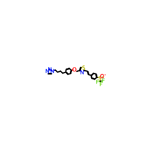 [O-][S+](c1ccc(C=Cc2nc(COc3ccc(CCCCn4ccnn4)cc3)cs2)cc1)C(F)(F)F